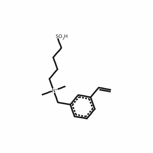 C=Cc1cccc(C[N+](C)(C)CCCCS(=O)(=O)O)c1